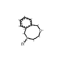 CCN1CCOCc2ccccc2C1